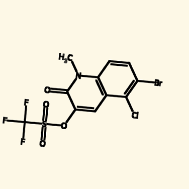 Cn1c(=O)c(OS(=O)(=O)C(F)(F)F)cc2c(Cl)c(Br)ccc21